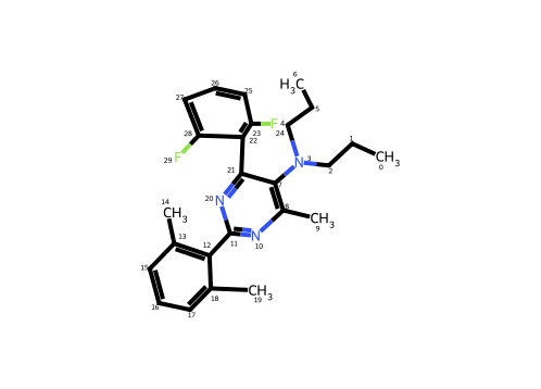 CCCN(CCC)c1c(C)nc(-c2c(C)cccc2C)nc1-c1c(F)cccc1F